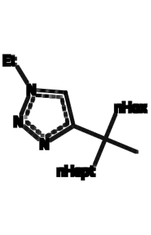 CCCCCCCC(C)(CCCCCC)c1cn(CC)nn1